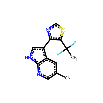 N#Cc1cnc2[nH]cc(-c3ncsc3C(F)(F)C(F)(F)F)c2c1